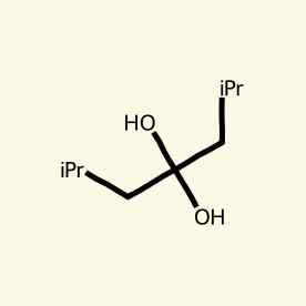 CC(C)CC(O)(O)CC(C)C